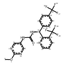 COc1ncc(NC(=O)N[C@@H](c2ccc(C(F)(F)F)cc2)c2ncccc2C(F)(F)F)cn1